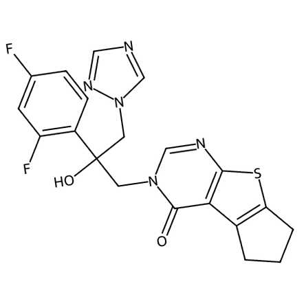 O=c1c2c3c(sc2ncn1CC(O)(Cn1cncn1)c1ccc(F)cc1F)CCC3